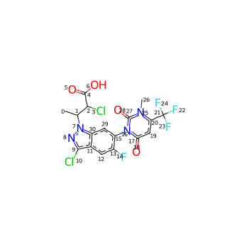 CC(C(Cl)C(=O)O)n1nc(Cl)c2cc(F)c(-n3c(=O)cc(C(F)(F)F)n(C)c3=O)cc21